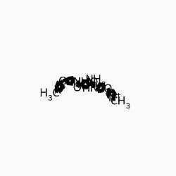 C[n+]1ccc(Oc2ccc(NC(=O)c3ccc(C(=O)Nc4ccc(Oc5cc[n+](C)cc5)cc4)c(N)c3)cc2)cc1